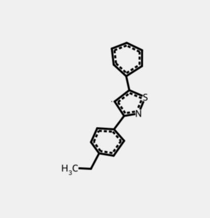 CCc1ccc(-c2[c]c(-c3ccccc3)sn2)cc1